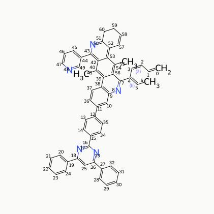 C=C/C=C\C(=C/C)c1nc2cc(-c3ccc(-c4nc(-c5ccccc5)cc(-c5ccccc5)n4)cc3)ccc2c2c(C)c3c(-c4cccnc4)nc4c(c3c(C)c12)C=CCC4